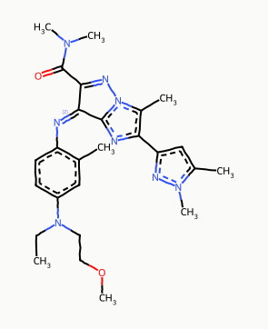 CCN(CCOC)c1ccc(/N=C2/C(C(=O)N(C)C)=Nn3c2nc(-c2cc(C)n(C)n2)c3C)c(C)c1